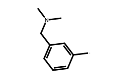 [CH2]c1cccc(CN(C)C)c1